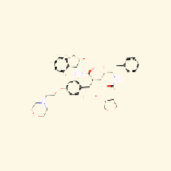 CO[C@H]1COC[C@H]1OC(=O)N[C@@H](Cc1ccccc1)[C@@H](O)C[C@@H](Cc1ccc(OCCN2CCOCC2)cc1)C(=O)N[C@H]1c2ccccc2C[C@H]1O